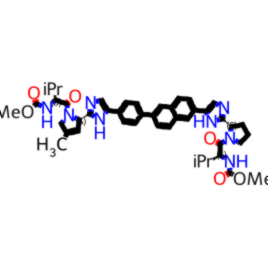 COC(=O)N[C@H](C(=O)N1CC(C)=C[C@H]1c1ncc(-c2ccc(-c3ccc4cc(-c5cnc([C@@H]6CCCN6C(=O)[C@@H](NC(=O)OC)C(C)C)[nH]5)ccc4c3)cc2)[nH]1)C(C)C